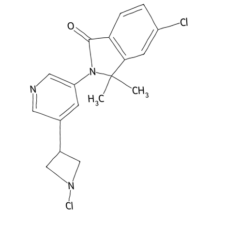 CC1(C)c2cc(Cl)ccc2C(=O)N1c1cncc(C2CN(Cl)C2)c1